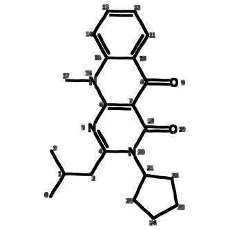 CC(C)Cc1nc2c(c(=O)c3ccccc3n2C)c(=O)n1C1CCCC1